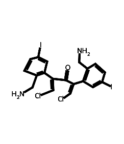 NCc1ccc(I)cc1C(=CCl)C(=O)C(=CCl)c1cc(I)ccc1CN